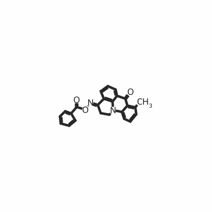 Cc1cccc2c1c(=O)c1cccc3c1n2CC/C3=N\OC(=O)c1ccccc1